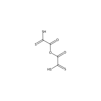 O=C(OC(=O)C(=S)S)C(=S)S